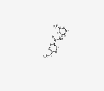 CC(=O)OCc1ccc(C(=O)Nc2cccc(C(F)(F)F)c2)cn1